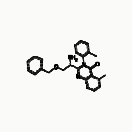 Cc1ccccc1-n1c(C(N)COCc2ccccc2)nc2cccc(C)c2c1=O